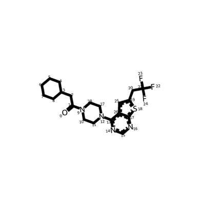 O=C(CC1CCCCC1)N1CCN(c2ncnc3sc(CC(F)(F)F)cc23)CC1